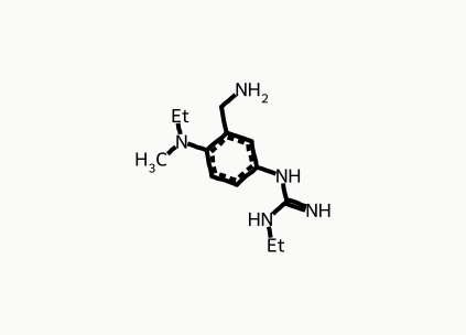 CCNC(=N)Nc1ccc(N(C)CC)c(CN)c1